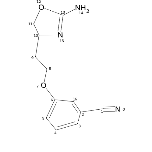 N#Cc1cccc(OCCC2COC(N)=N2)c1